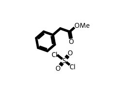 COC(=O)Cc1ccccc1.O=S(=O)(Cl)Cl